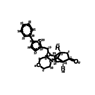 O=C1C[C@H]2C(N3CCOCC3)[C@@H]1C[C@H]2OCc1ccc(-c2ccccc2)s1